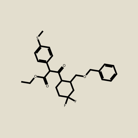 CCOC(=O)C(C(=O)C1CCC(F)(F)CC1COCc1ccccc1)c1ccc(SC)cc1